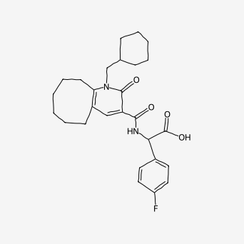 O=C(NC(C(=O)O)c1ccc(F)cc1)c1cc2c(n(CC3CCCCC3)c1=O)CCCCCC2